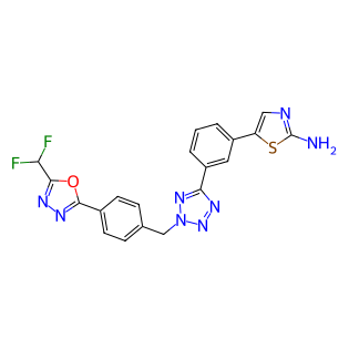 Nc1ncc(-c2cccc(-c3nnn(Cc4ccc(-c5nnc(C(F)F)o5)cc4)n3)c2)s1